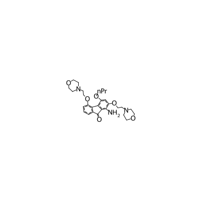 CCCOc1cc(OCCN2CCOCC2)c(N)c2c1-c1c(OCCN3CCOCC3)cccc1C2=O